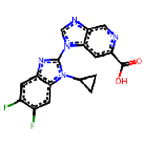 O=C(O)c1cc2c(cn1)ncn2-c1nc2cc(F)c(F)cc2n1C1CC1